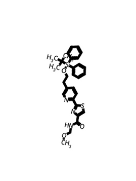 COCNC(=O)c1csc(-c2ccc(CCO[Si](c3ccccc3)(c3ccccc3)C(C)(C)C)cn2)n1